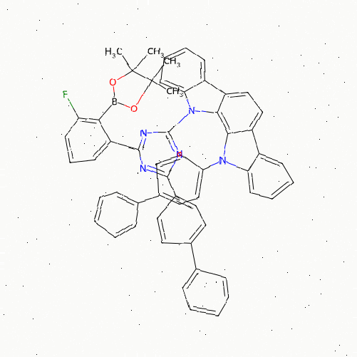 CC1(C)OB(c2c(F)cccc2-c2nc(-c3ccc(-c4ccccc4)cc3)nc(-n3c4ccccc4c4ccc5c6ccccc6n(-c6ccc(-c7ccccc7)cc6)c5c43)n2)OC1(C)C